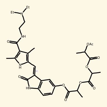 CCN(CC)CCNC(=O)c1c(C)[nH]c(/C=C2\C(=O)Nc3ccc(OC(=O)C(C)OC(=O)C(C)OC(=O)C(C)OC(C)=O)cc32)c1C